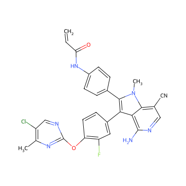 C=CC(=O)Nc1ccc(-c2c(-c3ccc(Oc4ncc(Cl)c(C)n4)c(F)c3)c3c(N)ncc(C#N)c3n2C)cc1